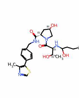 Cc1ncsc1-c1ccc(CNC(=O)[C@@H]2C[C@@H](O)CN2C(=O)[C@@H](NC(O)CCC(C)C)[C@H](C)O)cc1